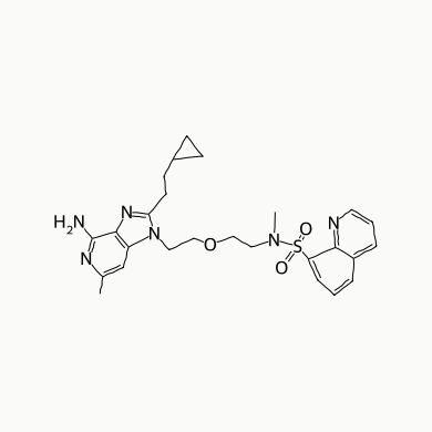 Cc1cc2c(nc(CCC3CC3)n2CCOCCN(C)S(=O)(=O)c2cccc3cccnc23)c(N)n1